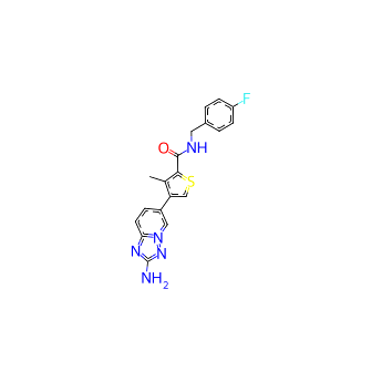 Cc1c(-c2ccc3nc(N)nn3c2)csc1C(=O)NCc1ccc(F)cc1